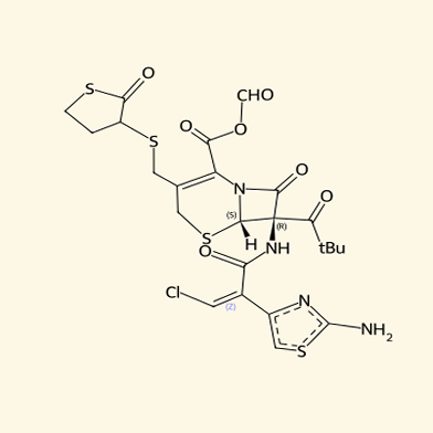 CC(C)(C)C(=O)[C@@]1(NC(=O)/C(=C\Cl)c2csc(N)n2)C(=O)N2C(C(=O)OC=O)=C(CSC3CCSC3=O)CS[C@H]21